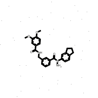 COc1ccc(C(=O)NCc2cccc(C(=O)N(N)c3ccc4c(c3)CCC4)c2)cc1OC